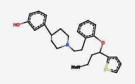 CNCCC(Oc1ccccc1CCN1CCC(c2cccc(O)c2)CC1)c1cccs1